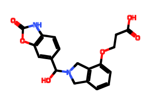 O=C(O)CCOc1cccc2c1CN(C(O)c1ccc3[nH]c(=O)oc3c1)C2